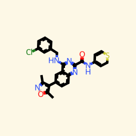 Cc1noc(C)c1-c1ccc2nc(C(=O)NC3=CCSC=C3)nc(NCc3cccc(Cl)c3)c2c1